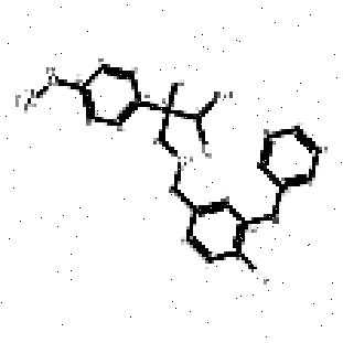 CC(COCc1ccc(F)c(Cc2ccccc2)c1)(c1ccc(OC(F)(F)F)cc1)C(F)F